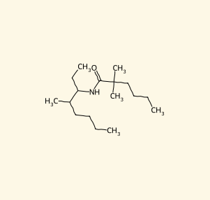 CCCCC(C)C(CC)NC(=O)C(C)(C)CCCC